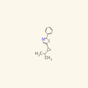 CC(C)C1C[C@@H]1c1cnc(-c2ccccc2)s1